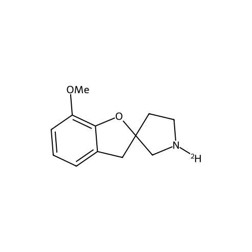 [2H]N1CCC2(Cc3cccc(OC)c3O2)C1